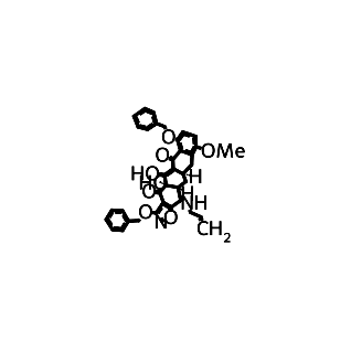 C=CCN[C@@H]1c2onc(OCc3ccccc3)c2C(=O)[C@@]2(O)C(O)=C3C(=O)c4c(OCc5ccccc5)ccc(OC)c4C[C@H]3C[C@@H]12